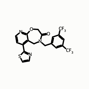 O=C1COc2nccc(-c3nccs3)c2CN1Cc1cc(C(F)(F)F)cc(C(F)(F)F)c1